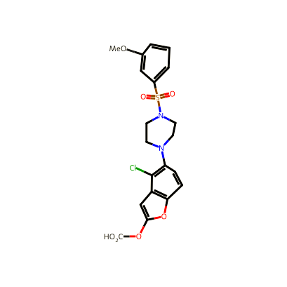 COc1cccc(S(=O)(=O)N2CCN(c3ccc4oc(OC(=O)O)cc4c3Cl)CC2)c1